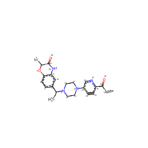 CCC1Oc2ccc(C(C)N3CCN(c4c#cc(C(=O)NC)nc4)CC3)cc2NC1=O